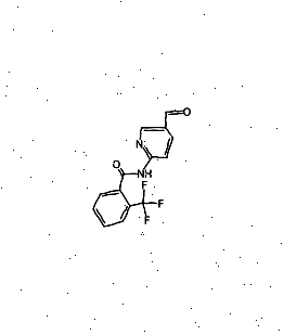 O=Cc1ccc(NC(=O)c2ccccc2C(F)(F)F)nc1